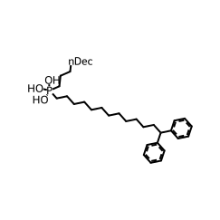 CCCCCCCCCCCCCP(O)(O)(O)CCCCCCCCCCCCC(c1ccccc1)c1ccccc1